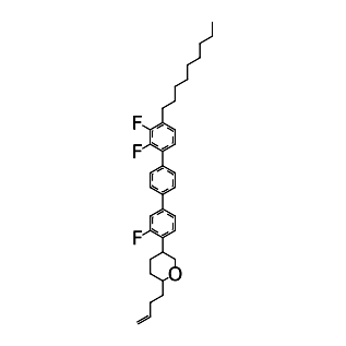 C=CCCC1CCC(c2ccc(-c3ccc(-c4ccc(CCCCCCCCC)c(F)c4F)cc3)cc2F)CO1